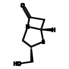 O=C1C[C@@H]2S[C@@H](CO)CN12